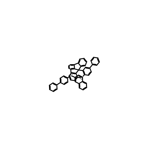 c1ccc(-c2ccc(N(c3ccc4ccccc4c3)c3cccc4c3C3(c5ccccc5Oc5ccc(-c6ccccc6)cc53)c3ccccc3-4)cc2)cc1